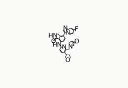 CO[C@@H]1CCN(Cc2nc(Nc3ccc(-c4cnc5cc(F)ccn45)c4c3C(=O)NC4)ccc2C2CCOC2)C1